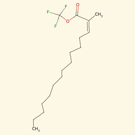 CCCCCCCCCCCCC=C(C)C(=O)OC(F)(F)F